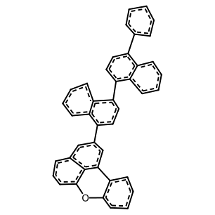 c1ccc(-c2ccc(-c3ccc(-c4cc5c6c(cccc6c4)Oc4ccccc4-5)c4ccccc34)c3ccccc23)cc1